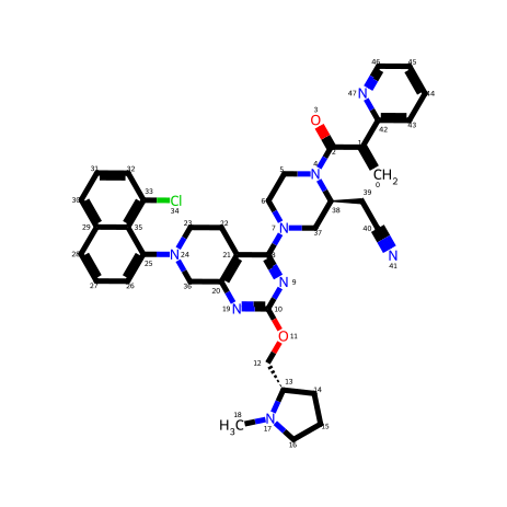 C=C(C(=O)N1CCN(c2nc(OC[C@@H]3CCCN3C)nc3c2CCN(c2cccc4cccc(Cl)c24)C3)C[C@@H]1CC#N)c1ccccn1